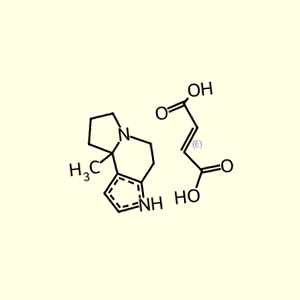 CC12CCCN1CCc1[nH]ccc12.O=C(O)/C=C/C(=O)O